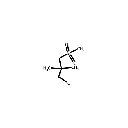 CC(C)(C[O])CS(C)(=O)=O